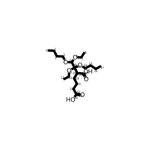 CCCCOC(OCC)C(OCC)(OCCCC)C(CCCC(=O)O)C(=O)O